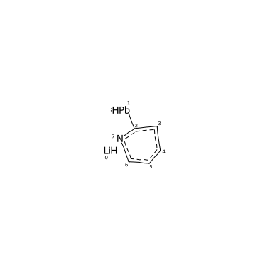 [LiH].[PbH][c]1ccccn1